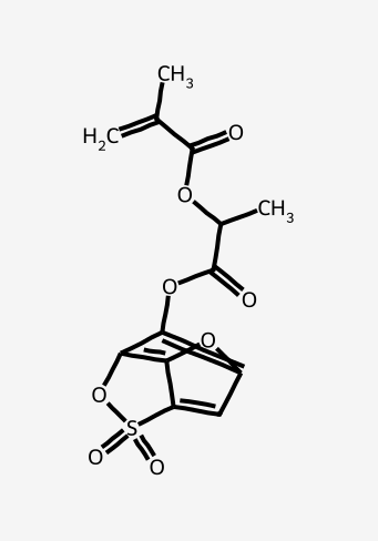 C=C(C)C(=O)OC(C)C(=O)Oc1c2c3oc1cc3S(=O)(=O)O2